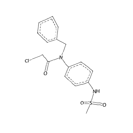 CS(=O)(=O)Nc1ccc(N(Cc2ccccc2)C(=O)CCl)cc1